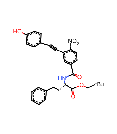 CC(C)(C)COC(=O)[C@H](CCc1ccccc1)NC(=O)c1ccc([N+](=O)[O-])c(C#Cc2ccc(O)cc2)c1